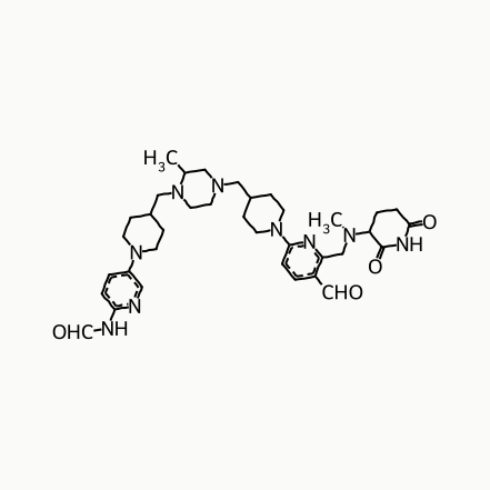 CC1CN(CC2CCN(c3ccc(C=O)c(CN(C)C4CCC(=O)NC4=O)n3)CC2)CCN1CC1CCN(c2ccc(NC=O)nc2)CC1